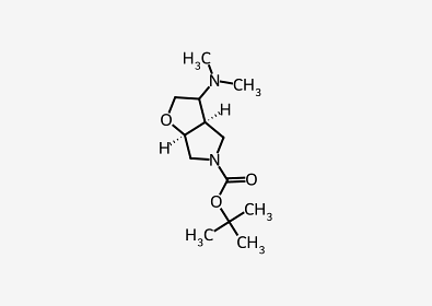 CN(C)C1CO[C@@H]2CN(C(=O)OC(C)(C)C)C[C@H]12